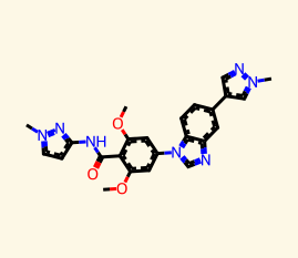 COc1cc(-n2cnc3cc(-c4cnn(C)c4)ccc32)cc(OC)c1C(=O)Nc1ccn(C)n1